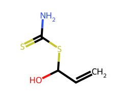 C=CC(O)SC(N)=S